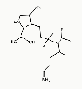 CCCC1CNC(C(O)O)N1CCC(C)(C)[C@H](C(C)F)C(C)CCCN